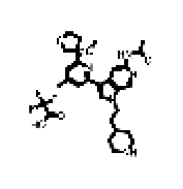 CO[C@@]1(c2cc(C)cc(-c3cn(CCC4CCNCC4)c4cnc(NC(C)=O)cc34)n2)CCOC1.O=C(O)C(F)(F)F